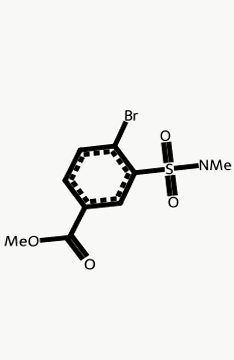 CNS(=O)(=O)c1cc(C(=O)OC)ccc1Br